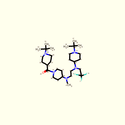 CN(CCN(CC(F)(F)F)C1CCN(C(C)(C)C)CC1)C1CCN(C(=O)C2CCN(C(C)(C)C)CC2)CC1